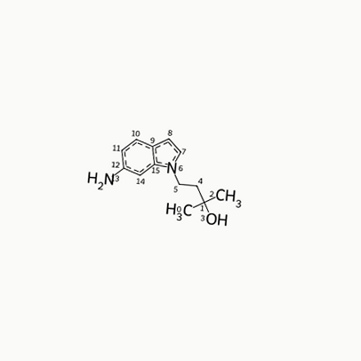 CC(C)(O)CCn1ccc2ccc(N)cc21